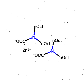 CCCCCCCCN(CCCCCCCC)C(=O)[O-].CCCCCCCCN(CCCCCCCC)C(=O)[O-].[Zn+2]